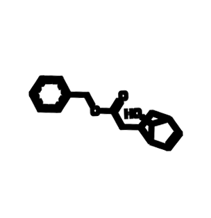 O=C(CC1CC2C=CC1C2O)OCc1ccccc1